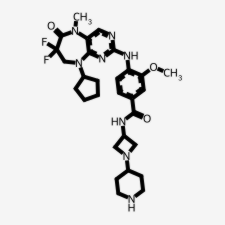 COc1cc(C(=O)NC2CN(C3CCNCC3)C2)ccc1Nc1ncc2c(n1)N(C1CCCC1)CC(F)(F)C(=O)N2C